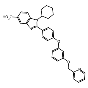 O=C(O)c1ccc2c(c1)nc(-c1ccc(Oc3cccc(OCc4ccccn4)c3)cc1)n2C1CCCCC1